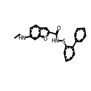 CCNc1ccc2cc(C(=O)NSc3ccccc3-c3ccccc3)oc2c1